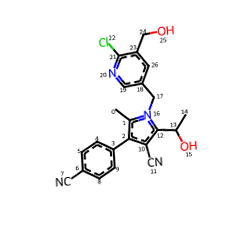 Cc1c(-c2ccc(C#N)cc2)c(C#N)c(C(C)O)n1Cc1cnc(Cl)c(CO)c1